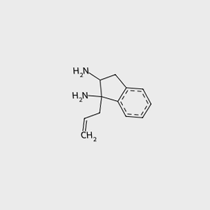 C=CCC1(N)c2ccccc2CC1N